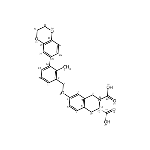 Cc1c(COc2ccc3c(c2)CN(C(=O)O)[C@H](C(=O)O)C3)cccc1-c1ccc2c(c1)OCCO2